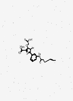 CCCCCC(=O)Nc1cccc(-c2sc(C(=O)O)c(OCC(=O)O)c2Br)c1